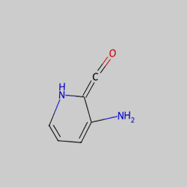 NC1=CC=CNC1=C=O